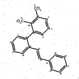 ClC(Cl)(Cl)c1nnnc(-c2ccccc2C=Cc2ccccc2)c1C(Cl)(Cl)Cl